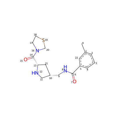 Cc1cccc(C(=O)NC[C@@H]2CN[C@H](C(=O)N3CCSC3)C2)c1